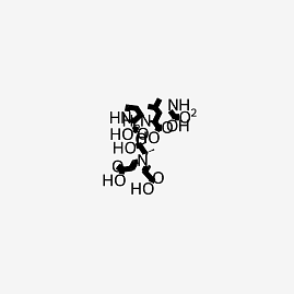 CC(C)C[C@H](N)C(=O)O.C[C@@H](C(=O)O)N(C=CC(=O)O)C=CC(=O)O.NCC(=O)O.O=C(O)[C@@H]1CCCN1